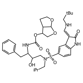 CC(C)CN(CC(O)C(Cc1ccccc1)NC(=O)OC1COC2OCCC12)S(=O)(=O)c1ccc2c(c1)/C(=C/NCC(C)(C)C)C(=O)N2